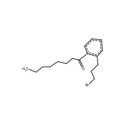 CCCCCCCC(=O)c1ccccc1CCCBr